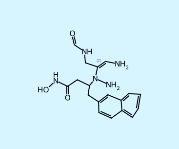 N/C=C(/CNC=O)N(N)C(CC(=O)NO)Cc1ccc2ccccc2c1